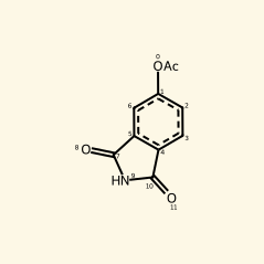 CC(=O)Oc1ccc2c(c1)C(=O)NC2=O